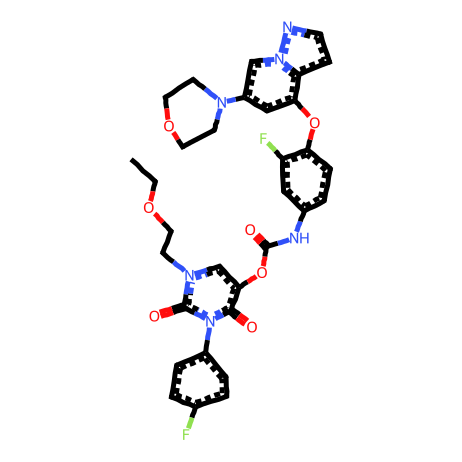 CCOCCn1cc(OC(=O)Nc2ccc(Oc3cc(N4CCOCC4)cn4nccc34)c(F)c2)c(=O)n(-c2ccc(F)cc2)c1=O